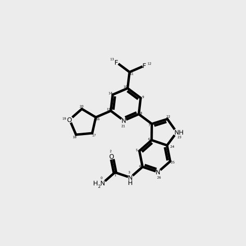 NC(=O)Nc1cc2c(-c3cc(C(F)F)cc(C4CCOC4)n3)c[nH]c2cn1